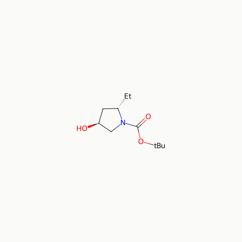 CC[C@H]1C[C@H](O)CN1C(=O)OC(C)(C)C